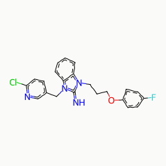 N=c1n(CCCOc2ccc(F)cc2)c2ccccc2n1Cc1ccc(Cl)nc1